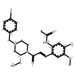 COc1cc(/C=C/C(=O)N2CCN(Cc3ccc(F)cc3)C[C@H]2CO)c(NC(C)=O)cc1Cl